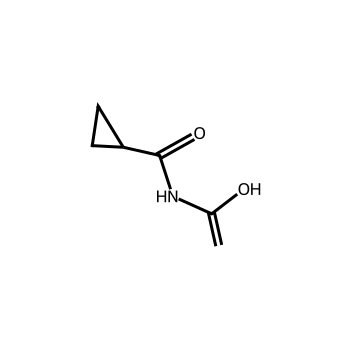 C=C(O)NC(=O)C1CC1